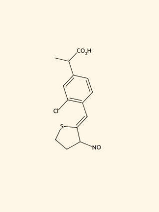 CC(C(=O)O)c1ccc(/C=C2\SCCC2N=O)c(Cl)c1